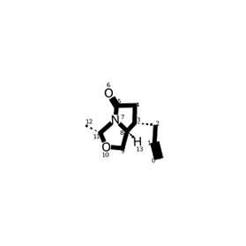 C#CC[C@H]1CC(=O)N2[C@@H]1CO[C@@H]2C